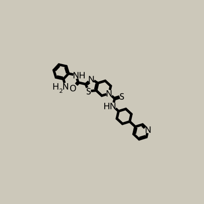 Nc1ccccc1NC(=O)c1nc2c(s1)CN(C(=S)NC1CCC(c3cccnc3)CC1)CC2